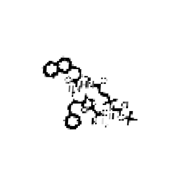 CC(C)(/C=C/C(=O)NC[C@@H](Cc1ccc2ccccc2c1)C(=O)NC[C@@H](Cc1ccccc1)c1nnc(C(N)=O)o1)NC(=O)OC(C)(C)C